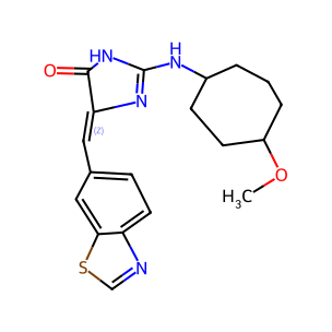 COC1CCCC(NC2=N/C(=C\c3ccc4ncsc4c3)C(=O)N2)CC1